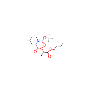 CCCCOC(=O)[C@@H](C)OC(=O)[C@H](CC(C)C)N(C)C(=O)OC(C)(C)C